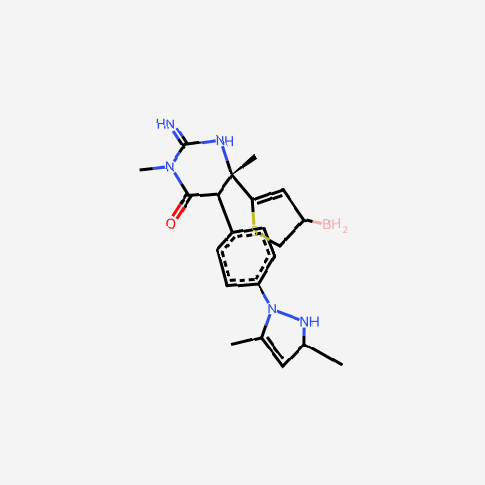 BC1C=C([C@@]2(C)NC(=N)N(C)C(=O)C2c2ccc(N3NC(C)C=C3C)cc2)SC1